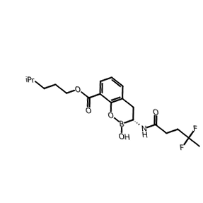 CC(C)CCCOC(=O)c1cccc2c1OB(O)[C@@H](NC(=O)CCC(C)(F)F)C2